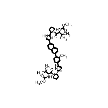 COC(=O)N[C@H](C(=O)N1CCCC1c1nc(-c2ccc3cc(-c4ccc(-c5cnc([C@@H]6CCCN6C(=O)[C@@H](NC(=O)OC)C(C)C)[nH]5)cc4C)ccc3c2)c[nH]1)C(C)C